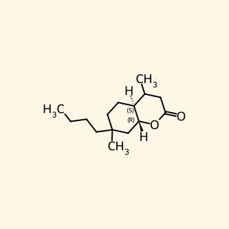 CCCCC1(C)CC[C@H]2C(C)CC(=O)O[C@@H]2C1